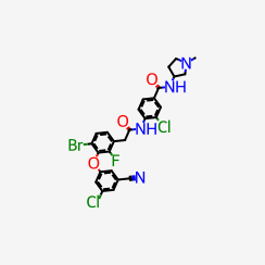 CN1CCC(NC(=O)c2ccc(NC(=O)Cc3ccc(Br)c(Oc4cc(Cl)cc(C#N)c4)c3F)c(Cl)c2)C1